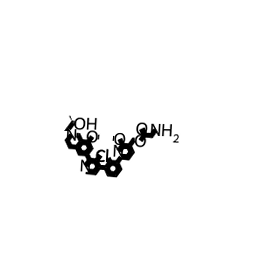 COc1cc(-c2nccc(-c3cccc(-c4ccc(COC(=O)CN)c(OC)n4)c3Cl)c2Cl)cc2c1CN(C[C@H](C)O)CC2